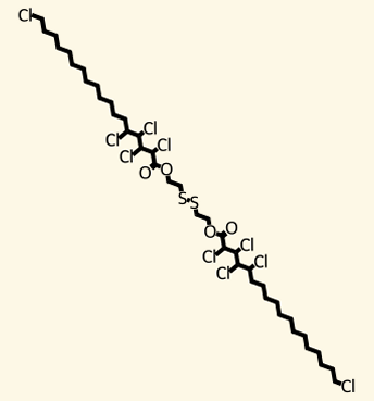 O=C(OCCSSCCOC(=O)C(Cl)C(Cl)C(Cl)C(Cl)CCCCCCCCCCCCCCl)C(Cl)C(Cl)C(Cl)C(Cl)CCCCCCCCCCCCCCl